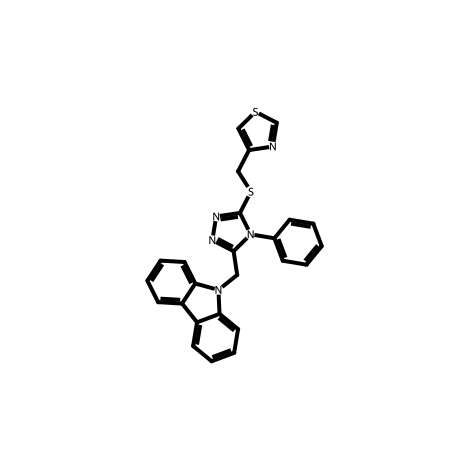 c1ccc(-n2c(Cn3c4ccccc4c4ccccc43)nnc2SCc2cscn2)cc1